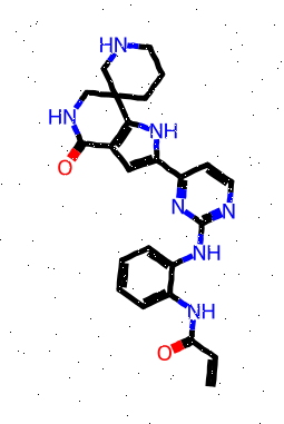 C=CC(=O)Nc1ccccc1Nc1nccc(-c2cc3c([nH]2)C2(CCCNC2)CNC3=O)n1